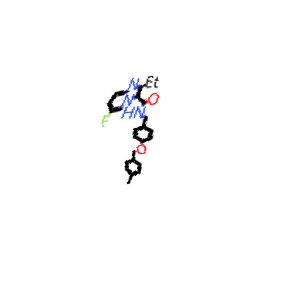 CCc1nc2ccc(F)cn2c1C(=O)NCc1ccc(OCc2ccc(C)cc2)cc1